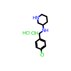 Cl.Cl.Clc1ccc(CNC2CCCNC2)cc1